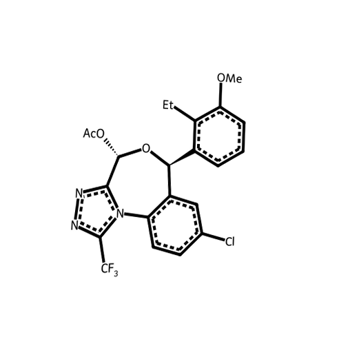 CCc1c(OC)cccc1[C@@H]1O[C@@H](OC(C)=O)c2nnc(C(F)(F)F)n2-c2ccc(Cl)cc21